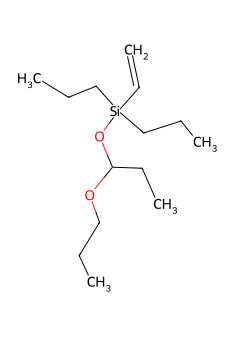 C=C[Si](CCC)(CCC)OC(CC)OCCC